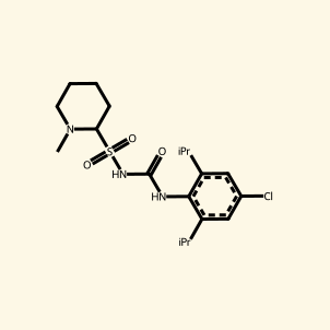 CC(C)c1cc(Cl)cc(C(C)C)c1NC(=O)NS(=O)(=O)C1CCCCN1C